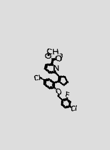 COC(=O)c1cccc(C2=C(c3cc(Cl)ccc3OCc3ccc(Cl)cc3F)CCC2)n1